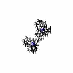 [2H]c1c([2H])c([2H])c(N(c2ccc(-c3ccc4ccc5c(N(c6c([2H])c([2H])c([2H])c([2H])c6[2H])c6c([2H])c([2H])c([2H])c([2H])c6[2H])ccc6ccc3c4c65)cc2)c2c([2H])c([2H])c([2H])c([2H])c2[2H])c([2H])c1[2H]